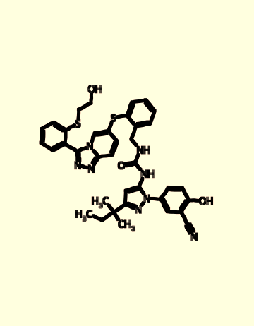 CCC(C)(C)c1cc(NC(=O)NCc2ccccc2Sc2ccc3nnc(-c4ccccc4SCCO)n3c2)n(-c2ccc(O)c(C#N)c2)n1